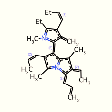 C=C/C=c1\c(=C/C)c(C)c2/c(=c3\c(=C)c(/C=C\CC)c(CC)n3C)c(/C=C\C)c(C)n12